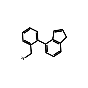 CC(C)Cc1ccccc1-c1cccc2c1C=C[CH]2